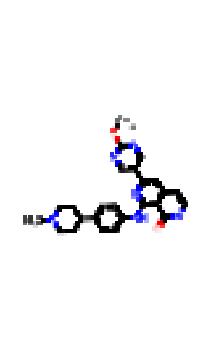 COc1ncc(-c2cc3c(c(Nc4ccc(C5CCN(C)CC5)cc4)n2)C(=O)[N]C=C3)cn1